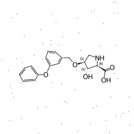 O=C(O)[C@@H]1NC[C@H](OCc2cccc(Oc3ccccc3)c2)[C@H]1O